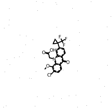 COc1c(Cl)ccc2c(=O)c3ccc(C4(C(F)(F)F)CC4)cc3n(CC(=O)O)c12